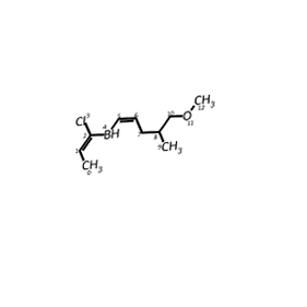 C/C=C(/Cl)B/C=C\CC(C)COC